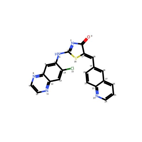 O=C1N=C(Nc2cc3nccnc3cc2Cl)S/C1=C\c1ccc2ncccc2c1